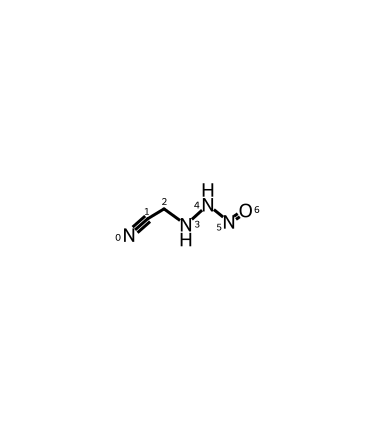 N#CCNNN=O